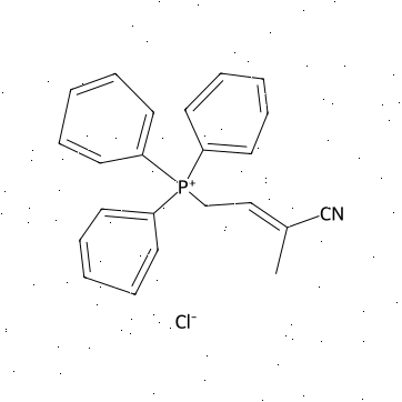 CC(C#N)=CC[P+](c1ccccc1)(c1ccccc1)c1ccccc1.[Cl-]